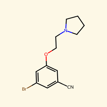 N#Cc1cc(Br)cc(OCCN2CCCC2)c1